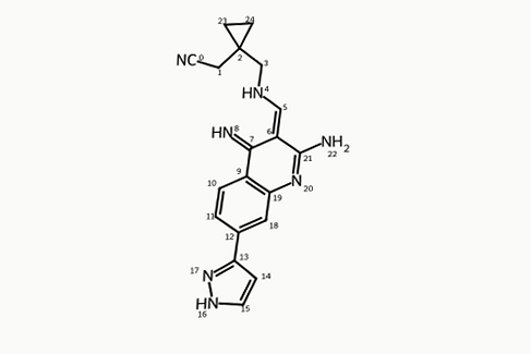 N#CCC1(CN/C=C2\C(=N)c3ccc(-c4cc[nH]n4)cc3N=C2N)CC1